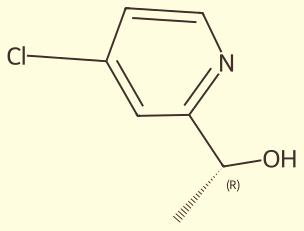 C[C@@H](O)c1cc(Cl)ccn1